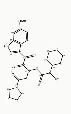 COc1ccc2c(C(=O)C(=O)N(CC(=O)N3CCCC3)CC(=O)N(C(C)C)C3CCCCC3)c[nH]c2c1